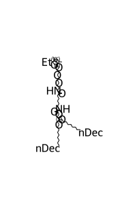 CCCCCCCCCCCCCCCCCCOC[C@@H](COC(=O)NCCCCCC(=O)NCCOCCOCCO[C@H]1OC(CC)[C@@H](C)[C@H](C)C1C)OCCCCCCCCCCCCCCCCCC